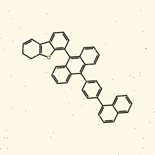 C1=Cc2c(oc3c(-c4c5ccccc5c(-c5ccc(-c6cccc7ccccc67)cc5)c5ccccc45)cccc23)CC1